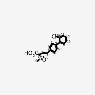 C[S+]([O-])C(CCc1ccc(-c2ccccc2Cl)cc1)C(=O)O